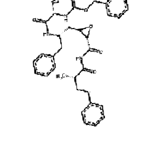 C[C@@H](C[CH]c1ccccc1)C(=O)NC(=O)[C@H]1OC1C[C@H](Cc1ccccc1)NC(=O)[C@@H](NC(=O)OCc1ccccc1)C(C)(C)C